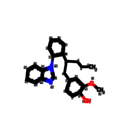 CCCC(Cc1ccc(O)c(OC)c1)c1ccccc1-n1cnc2ccccc21